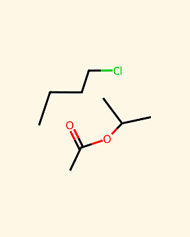 CC(=O)OC(C)C.CCCCCl